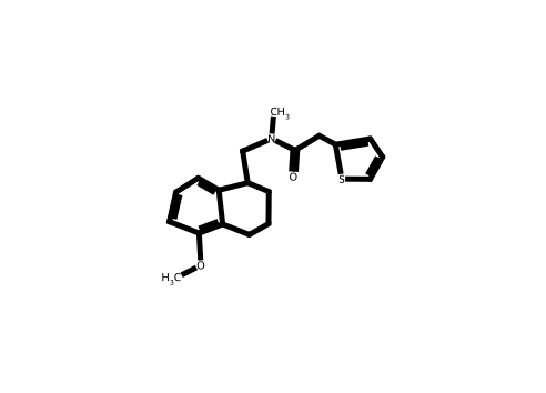 COc1cccc2c1CCCC2CN(C)C(=O)Cc1cccs1